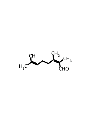 CC(C)=CCCC(C)=C(C)C=O